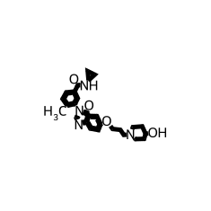 Cc1ccc(C(=O)NC2CC2)cc1-n1cnc2ccc(OCCCN3CCC(O)CC3)cc2c1=O